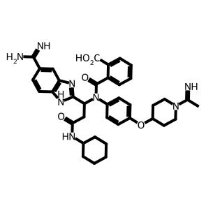 CC(=N)N1CCC(Oc2ccc(N(C(=O)c3ccccc3C(=O)O)C(CC(=O)NC3CCCCC3)c3nc4cc(C(=N)N)ccc4[nH]3)cc2)CC1